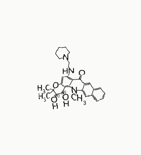 Cn1c2cc3ccccc3cc2c(=O)c2c(NCCN3CCCCC3)cc3c(c21)[C@@H](O)[C@@H](O)C(C)(C)O3